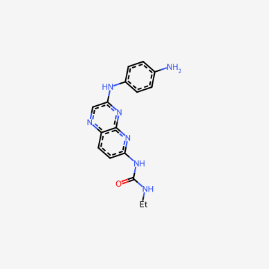 CCNC(=O)Nc1ccc2ncc(Nc3ccc(N)cc3)nc2n1